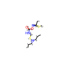 CCCN(CCC)SCNC(=O)ON=C(C)SC